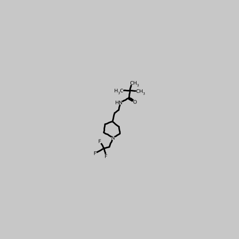 CC(C)(C)C(=O)NCCC1CCN(CC(F)(F)F)CC1